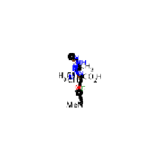 CNCC#Cc1ccc(OCCCc2sc(N(CCN(C)C)c3cc(C)c(Nc4nc5ccccc5s4)nn3)nc2C(=O)O)c(F)c1